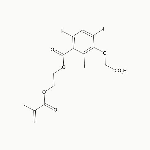 C=C(C)C(=O)OCCOC(=O)c1c(I)cc(I)c(OCC(=O)O)c1I